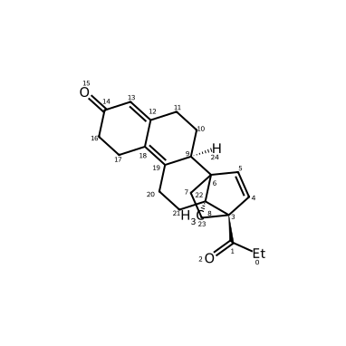 CCC(=O)[C@@]12C=CC3(CC1)[C@@H]1CCC4=CC(=O)CCC4=C1CC[C@@]32C